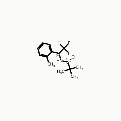 Cc1ccccc1[C@H](N[S@+]([O-])C(C)(C)C)C(F)(F)F